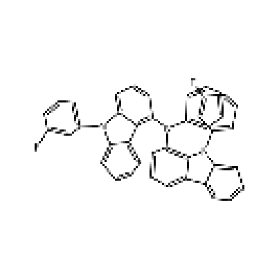 Fc1cccc(-n2c3ccccc3c3c(N(c4ccccc4)c4cccc5c6ccccc6n(-c6cccc(F)c6)c45)cccc32)c1